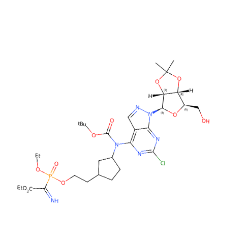 CCOC(=O)C(=N)P(=O)(OCC)OCCC1CCC(N(C(=O)OC(C)(C)C)c2nc(Cl)nc3c2cnn3[C@@H]2O[C@H](CO)[C@H]3OC(C)(C)O[C@H]32)C1